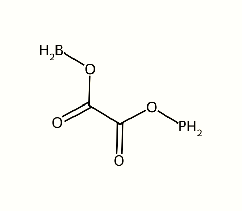 BOC(=O)C(=O)OP